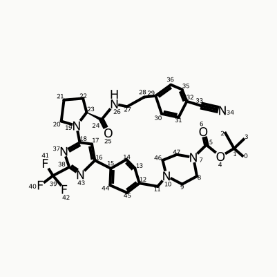 CC(C)(C)OC(=O)N1CCN(Cc2ccc(-c3cc(N4CCC[C@H]4C(=O)NCCc4ccc(C#N)cc4)nc(C(F)(F)F)n3)cc2)CC1